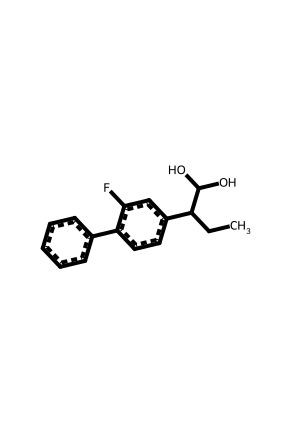 CCC(c1ccc(-c2ccccc2)c(F)c1)C(O)O